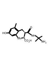 Cc1cc(O)cc(C)c1C[C@@H](C(=O)NCC(C)(C)N)N(C(=O)O)C(C)(C)C